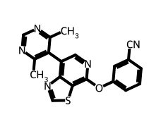 Cc1ncnc(C)c1-c1cnc(Oc2cccc(C#N)c2)c2scnc12